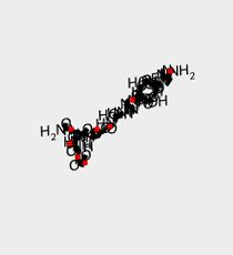 CC(C)[C@H](NC(=O)CCN1C(=O)C=CC1=O)C(=O)N[C@@H](CCCNC(N)=O)C(=O)Nc1ccc(COC(=O)NCC(O)CNc2ncnc3c2ncn3[C@@H]2O[C@@H]3COP(=O)(O)O[C@H]4[C@@H](F)[C@H](n5ccc6c(N)ncnc65)O[C@@H]4COP(=O)(O)O[C@H]3[C@H]2F)cc1